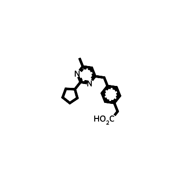 Cc1cc(Cc2ccc(CC(=O)O)cc2)nc(C2CCCC2)n1